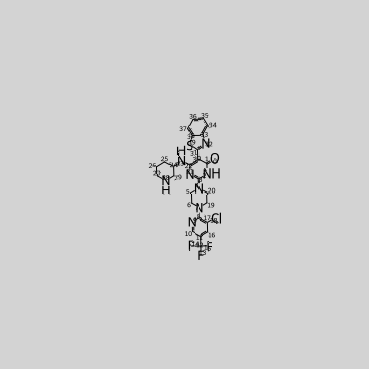 O=c1[nH]c(N2CCN(c3ncc(C(F)(F)F)cc3Cl)CC2)nc(NC2CCCNC2)c1-c1nc2ccccc2s1